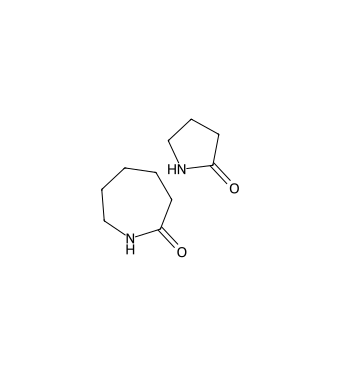 O=C1CCCCCN1.O=C1CCCN1